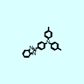 Cc1ccc(N(c2ccc(C)cc2)c2ccc(-n3nc4ccccc4n3)cc2)cc1